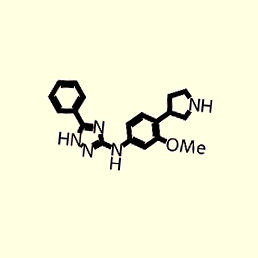 COc1cc(Nc2n[nH]c(-c3ccccc3)n2)ccc1C1CCNC1